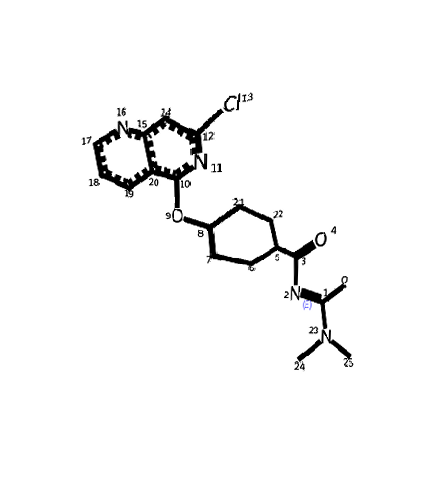 C/C(=N\C(=O)C1CCC(Oc2nc(Cl)cc3ncccc23)CC1)N(C)C